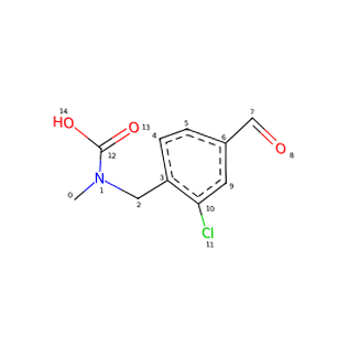 CN(Cc1ccc(C=O)cc1Cl)C(=O)O